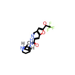 C[C@H]1[C@H](NC(=O)c2cc3oc(C(=O)C(F)(F)F)cc3cn2)C2CCN1CC2